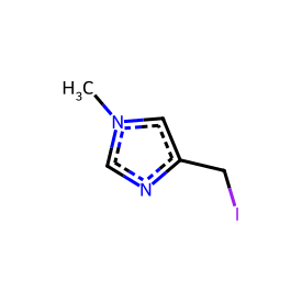 Cn1cnc(CI)c1